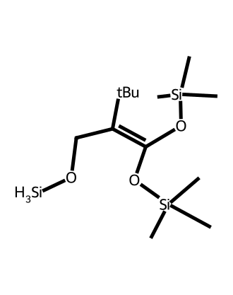 CC(C)(C)C(CO[SiH3])=C(O[Si](C)(C)C)O[Si](C)(C)C